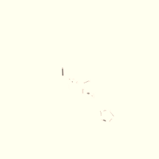 COC(=O)N[C@H](C(=O)NNCc1cccs1)C(C)C